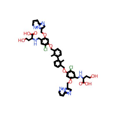 Cc1c(COc2cc(OCc3cnc4cccnn34)c(CNC(CCO)C(=O)O)cc2Cl)cccc1-c1cccc(COc2cc(OCc3cnc4cccnn34)c(CNC(CCO)C(=O)O)cc2Cl)c1C